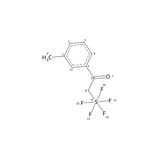 Cc1cccc(C(=O)CS(F)(F)(F)(F)F)c1